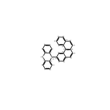 c1ccc2c(c1)Sc1ccccc1N2c1ccc2ccc3ccc4ccccc4c3c2c1